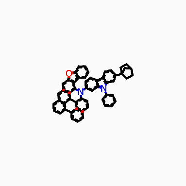 c1ccc(-c2cccc3cccc(-c4ccccc4N(c4ccc5c6ccc(C78CCC(CC7)C8)cc6n(-c6ccccc6)c5c4)c4cccc5oc6ccccc6c45)c23)cc1